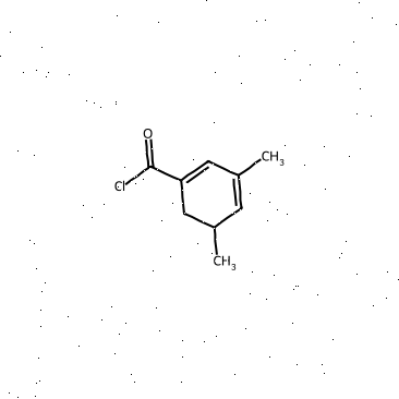 CC1=CC(C)CC(C(=O)Cl)=C1